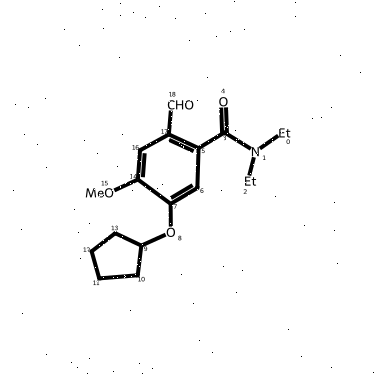 CCN(CC)C(=O)c1cc(OC2CCCC2)c(OC)cc1C=O